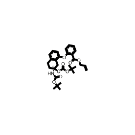 C=CCOC(=O)c1ccccc1Oc1cccc2c1C[C@@](NC(=O)OC(C)(C)C)(OC(=O)OC(C)(C)C)CC2